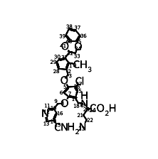 Cc1c(COc2cc(OCc3cncc(C#N)c3)c(CNC(CCN)C(=O)O)cc2Cl)cccc1C1COc2ccccc2O1